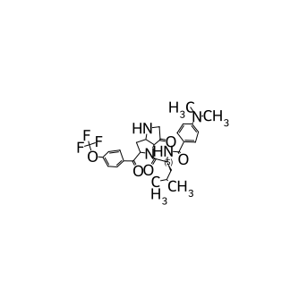 CC(C)C[C@H](NC(=O)c1ccc(N(C)C)cc1)C(=O)N1C(C(=O)c2ccc(OC(F)(F)F)cc2)CC2NCC(=O)C21